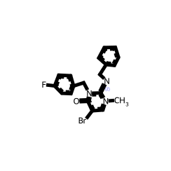 Cn1cc(Br)c(=O)n(Cc2ccc(F)cc2)/c1=N\Cc1ccccc1